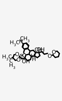 CN(C)c1ccc2c(c1)C[C@]13CCC4(C[C@]1(O)CC[C@@H]1C3C2C[C@@]2(C)[C@H]1CC[C@@]2(O)CCCOC1CCCCO1)OCC(C)(C)CO4